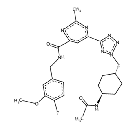 COc1cc(CNC(=O)c2cc(-c3nnn(C[C@H]4CC[C@H](NC(C)=O)CC4)n3)nc(C)n2)ccc1F